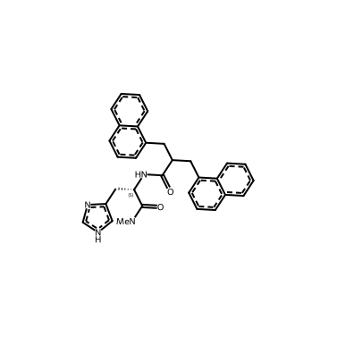 CNC(=O)[C@H](Cc1c[nH]cn1)NC(=O)C(Cc1cccc2ccccc12)Cc1cccc2ccccc12